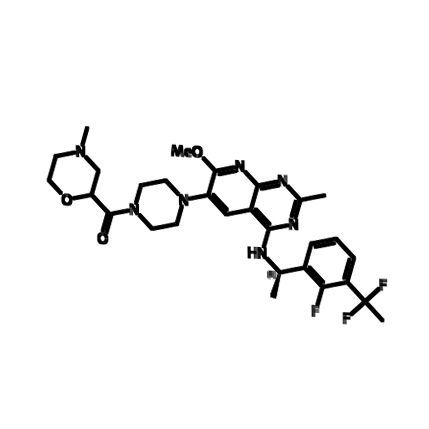 COc1nc2nc(C)nc(N[C@H](C)c3cccc(C(C)(F)F)c3F)c2cc1N1CCN(C(=O)C2CN(C)CCO2)CC1